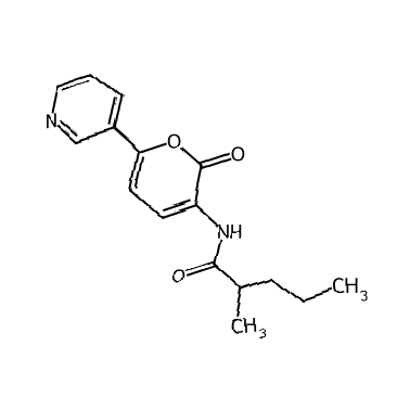 CCCC(C)C(=O)Nc1ccc(-c2cccnc2)oc1=O